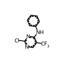 FC(F)(F)c1cnc(Cl)nc1Nc1ccccc1